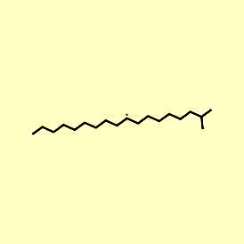 CCCCCCCCC[CH]CCCCCCC(C)C